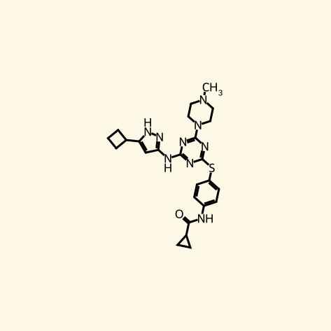 CN1CCN(c2nc(Nc3cc(C4CCC4)[nH]n3)nc(Sc3ccc(NC(=O)C4CC4)cc3)n2)CC1